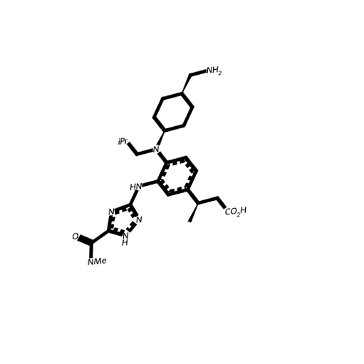 CNC(=O)c1nc(Nc2cc([C@H](C)CC(=O)O)ccc2N(CC(C)C)[C@H]2CC[C@@H](CN)CC2)n[nH]1